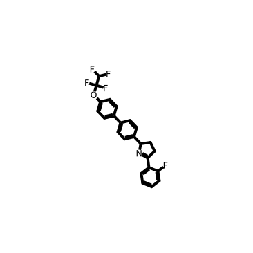 Fc1ccccc1C1=NC(c2ccc(-c3ccc(OC(F)(F)C(F)F)cc3)cc2)CC1